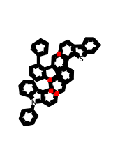 c1ccc(-c2ccccc2-c2c(-c3ccccc3)cccc2N(c2cccc(-c3cccc4c3sc3ccccc34)c2)c2cccc3c2c2ccccc2n3-c2ccccc2)cc1